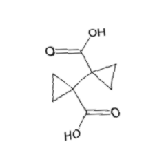 O=C(O)C1(C2(C(=O)O)CC2)CC1